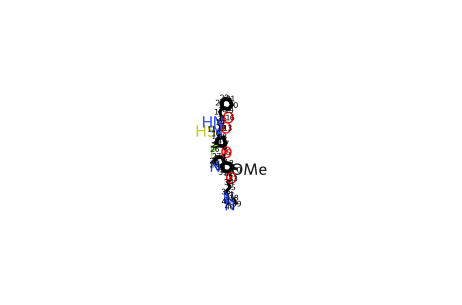 COc1cc2c(Oc3ccc(N(S)C(=O)NC(=O)Cc4ccccc4)cc3F)ccnc2cc1OCCCn1ccnc1